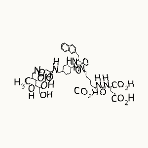 CC(/C=N\OCC(=O)NCC1CCC(C(=O)NC(Cc2ccc3ccccc3c2)C(=O)NCCCCC(NC(=O)NC(CCC(=O)O)C(=O)O)C(=O)O)CC1)C(O)C(O)C(O)CO